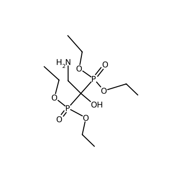 CCOP(=O)(OCC)C(O)(CN)P(=O)(OCC)OCC